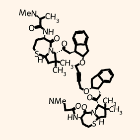 CNCC(=O)N[C@H]1CCS[C@H]2CC(C)(C)[C@@H](C(=O)C[C@H]3c4ccccc4C[C@H]3OCC#CCO[C@@H]3Cc4ccccc4[C@@H]3CC(=O)[C@H]3N4C(=O)[C@@H](NC(=O)[C@H](C)NC)CCS[C@H]4CC3(C)C)N2C1=O